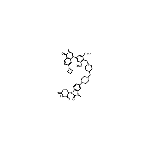 COc1cc(-c2cn(C)c(=O)c3cnc(N4CCC4)cc23)cc(OC)c1CN1CCC(CN2CCN(c3ccc4c(c3)n(C)c(=O)n4C3CCC(=O)NC3=O)CC2)CC1